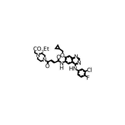 CCOC(=O)CN1CCN(C(=O)C=CC(=O)Nc2cc3c(Nc4ccc(F)c(Cl)c4)ncnc3cc2OCC2CC2)CC1